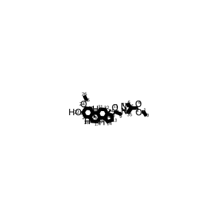 CCOC(=O)c1cnn(CC(=O)[C@H]2CC[C@H]3[C@@H]4CC[C@H]5C[C@H](O)[C@@H](OCC)C[C@]5(C)[C@H]4CC[C@]23C)c1